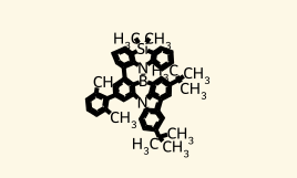 Cc1cccc(C)c1-c1cc2c3c(c1)-n1c4ccc(C(C)(C)C)cc4c4cc(C(C)(C)C)cc(c41)B3N1c3ccccc3[Si](C)(C)c3cccc-2c31